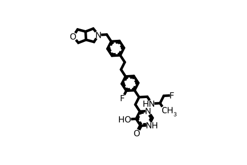 CC(CF)NCC(Cc1nc[nH]c(=O)c1O)c1ccc(CCc2ccc(CN3CC4COCC4C3)cc2)cc1F